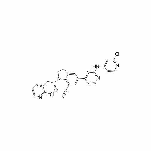 N#Cc1cc(-c2ccnc(Nc3ccnc(Cl)c3)n2)cc2c1N(C(=O)Cc1cccnc1Cl)CC2